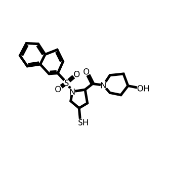 O=C(C1CC(S)CN1S(=O)(=O)c1ccc2ccccc2c1)N1CCC(O)CC1